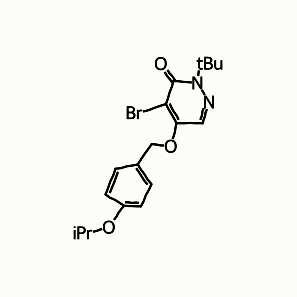 CC(C)Oc1ccc(COc2cnn(C(C)(C)C)c(=O)c2Br)cc1